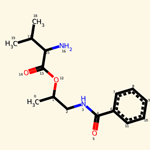 CC(CNC(=O)c1ccccc1)OC(=O)C(N)C(C)C